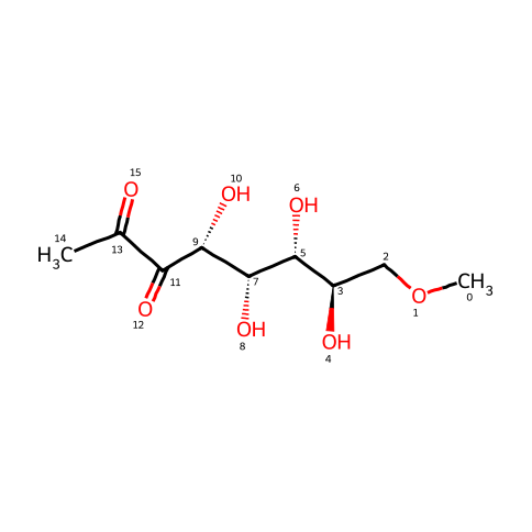 COC[C@@H](O)[C@@H](O)[C@H](O)[C@@H](O)C(=O)C(C)=O